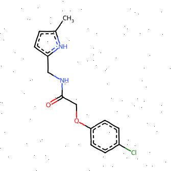 Cc1ccc(CNC(=O)COc2ccc(Cl)cc2)[nH]1